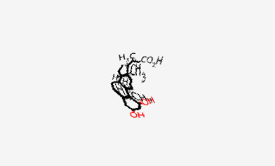 C[C@@H](CC(=O)O)[C@H]1CC[C@H]2[C@@H]3CC=C4CC(O)CC(O)[C@]4(C)[C@H]3CC[C@]12C